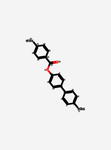 CCCCCCCCc1ccc(-c2ccc(OC(=O)c3ccc(CCCCCC)cc3)cc2)cc1